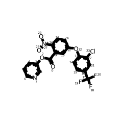 O=C(Oc1cccnc1)c1cc(Oc2ccc(C(F)(F)F)cc2Cl)ccc1[N+](=O)[O-]